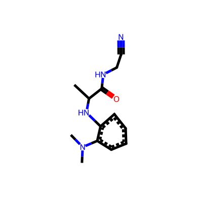 CC(Nc1ccccc1N(C)C)C(=O)NCC#N